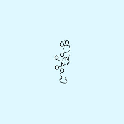 COCC1C(=O)N(CC2CCC3(CC2)OCCO3)C=CN1C(=O)OCc1ccccc1